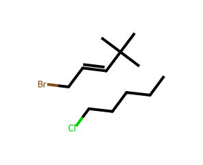 CC(C)(C)C=CCBr.CCCCCCl